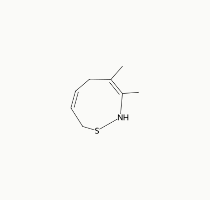 C/C1=C(\C)NSC/C=C\C1